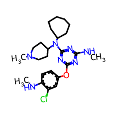 CNc1nc(Oc2ccc(NC)c(Cl)c2)nc(N(C2CCCCCC2)C2CCN(C)CC2)n1